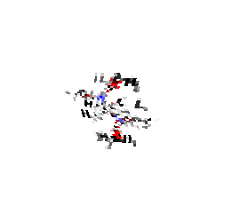 CCCCCCC1=CC(c2ccc(N(C3C=CC(C4C=CC(CC(C)C)=CC4)CC3)C3C=CC(C4C=CC(B5OC(C)(C)C(C)(C)O5)CC4)CC3)cc2C)C(CCCCCC)C=C1C1CC=C(N(C2=CC=C(C3=CCC(CC(C)C)C=C3)CC2)C2C=CC(C3C=CC(B4OC(C)(C)C(C)(C)O4)=CC3)CC2)C=C1C